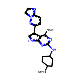 CNc1nc(NC2CCC(NC(C)=O)CC2)nc2[nH]cc(-c3ccc4nccn4n3)c12